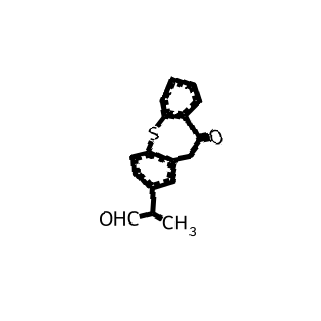 CC(C=O)c1ccc2c(c1)CC(=O)c1ccccc1S2